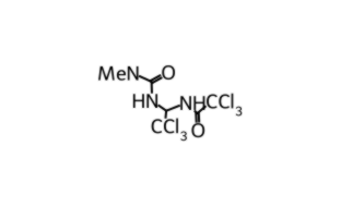 CNC(=O)NC(NC(=O)C(Cl)(Cl)Cl)C(Cl)(Cl)Cl